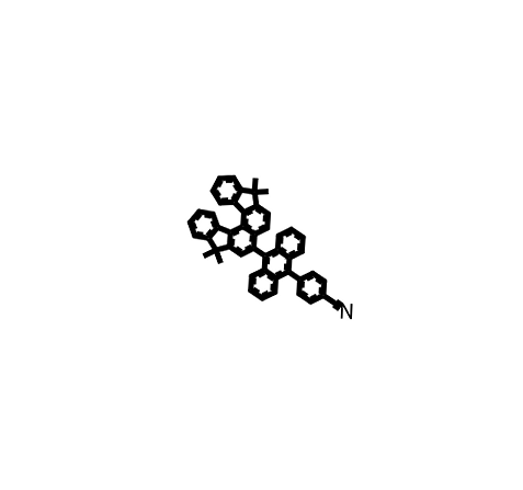 CC1(C)c2ccccc2-c2c1ccc1c(-c3c4ccccc4c(-c4ccc(C#N)cc4)c4ccccc34)cc3c(c21)-c1ccccc1C3(C)C